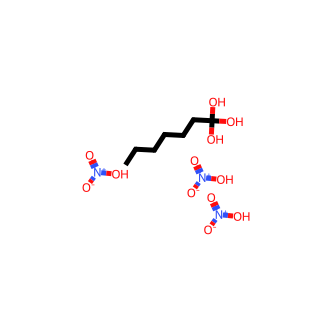 CCCCCCC(O)(O)O.O=[N+]([O-])O.O=[N+]([O-])O.O=[N+]([O-])O